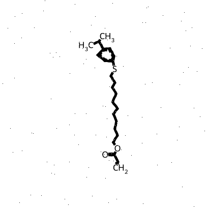 C=CC(=O)OCCCCCCCCCCCSc1ccc(C(C)C)cc1